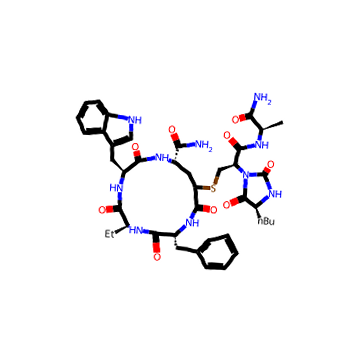 CCCC[C@@H]1NC(=O)N([C@@H](CSC2C[C@@H](C(N)=O)NC(=O)[C@H](Cc3c[nH]c4ccccc34)NC(=O)[C@H](CC)NC(=O)[C@@H](Cc3ccccc3)NC2=O)C(=O)N[C@H](C)C(N)=O)C1=O